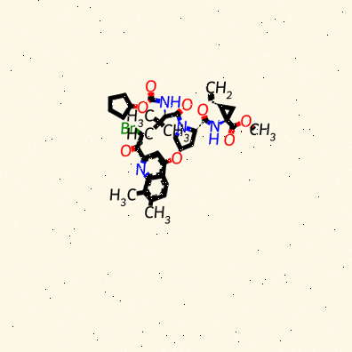 C=C[C@@H]1C[C@]1(NC(=O)[C@@H]1C[C@@H](Oc2cc(C(=O)CBr)nc3c(C)c(C)ccc23)CN1C(=O)[C@@H](NC(=O)OC1CCCC1)C(C)(C)C)C(=O)OC